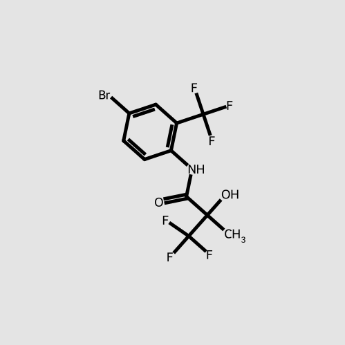 CC(O)(C(=O)Nc1ccc(Br)cc1C(F)(F)F)C(F)(F)F